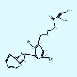 CC=C(O)C(=O)OCCCc1cc(C)cc(-n2nc3ccccc3n2)c1O